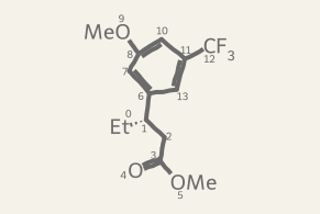 CC[C@@H](CC(=O)OC)c1cc(OC)cc(C(F)(F)F)c1